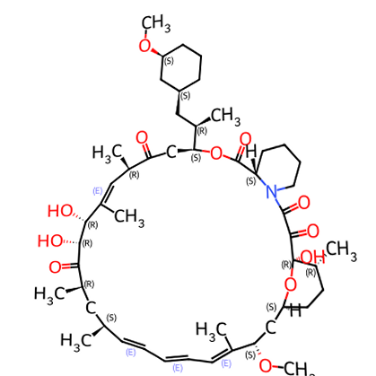 CO[C@H]1CCC[C@@H](C[C@@H](C)[C@@H]2CC(=O)[C@H](C)/C=C(\C)[C@@H](O)[C@@H](O)C(=O)[C@H](C)C[C@H](C)/C=C/C=C/C=C(\C)[C@@H](OC)C[C@@H]3CC[C@@H](C)[C@@](O)(O3)C(=O)C(=O)N3CCCC[C@H]3C(=O)O2)C1